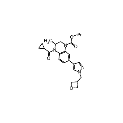 CC(C)OC(=O)N1C[C@H](C)N(C(=O)C2CC2)c2ccc(-c3cnn(CC4COC4)c3)cc21